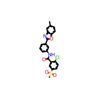 Cc1ccc2oc(-c3cccc(NC(=O)c4cc(S(C)(=O)=O)ccc4Cl)c3)nc2c1